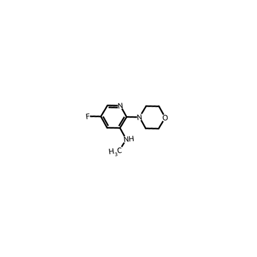 CNc1cc(F)cnc1N1CCOCC1